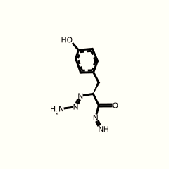 N=NC(=O)[C@H](Cc1ccc(O)cc1)N=NN